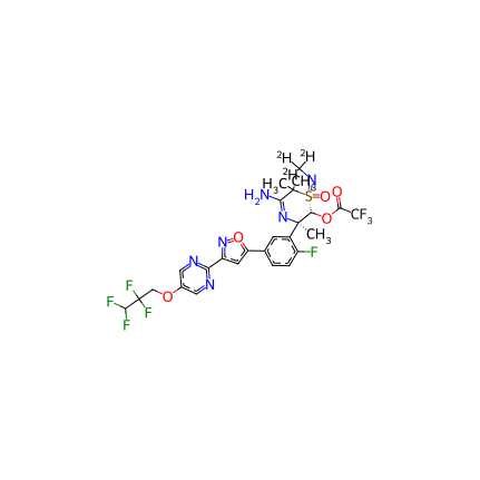 [2H]C([2H])([2H])N=[S@]1(=O)C(OC(=O)C(F)(F)F)[C@@](C)(c2cc(-c3cc(-c4ncc(OCC(F)(F)C(F)F)cn4)no3)ccc2F)N=C(N)C1(C)C